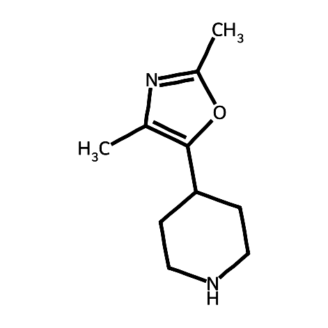 Cc1nc(C)c(C2CCNCC2)o1